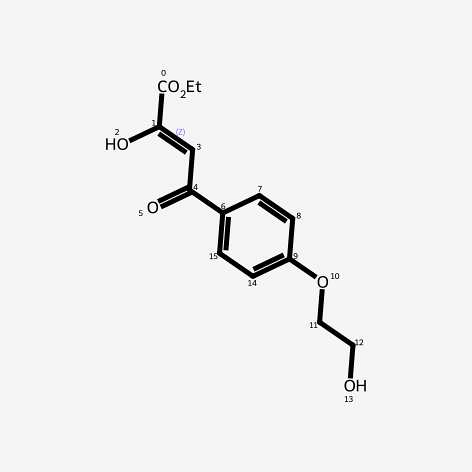 CCOC(=O)/C(O)=C/C(=O)c1ccc(OCCO)cc1